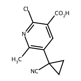 Cc1nc(Cl)c(C(=O)O)cc1C1(C#N)CC1